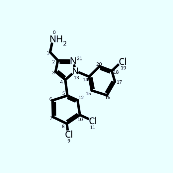 NCc1cc(-c2ccc(Cl)c(Cl)c2)n(-c2cccc(Cl)c2)n1